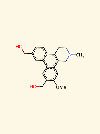 COc1cc2c3c(c4ccc(CO)cc4c2cc1CO)CCN(C)C3